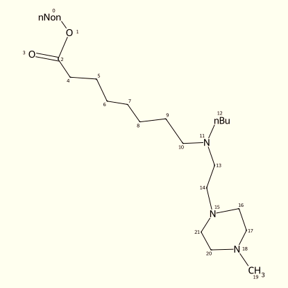 CCCCCCCCCOC(=O)CCCCCCCN(CCCC)CCN1CCN(C)CC1